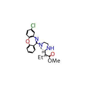 CC[C@@H](C(=O)OC)[C@@H]1CN(C2=Nc3cc(Cl)ccc3Oc3ccccc32)CCN1